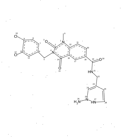 Cn1c(=O)n(Cc2ccc(Cl)c(Cl)c2)c(=O)c2cc(C(=O)NCC3=CN(N)NC=C3)ccc21